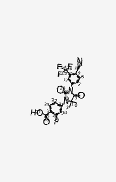 CC1(C)C(=O)N(c2ccc(C#N)c(C(F)(F)F)c2)C(=O)N1c1ccc(C(=O)O)c(F)c1